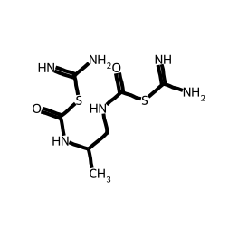 CC(CNC(=O)SC(=N)N)NC(=O)SC(=N)N